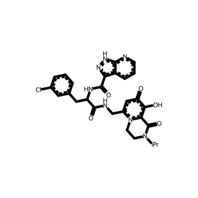 CC(C)N1CCn2c(CNC(=O)C(Cc3cccc(Cl)c3)NC(=O)c3n[nH]c4ncccc34)cc(=O)c(O)c2C1=O